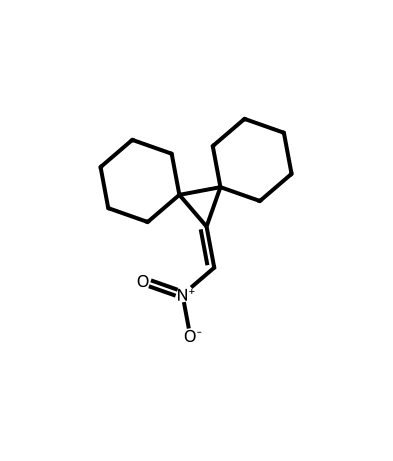 O=[N+]([O-])C=C1C2(CCCCC2)C12CCCCC2